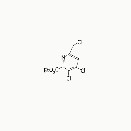 CCOC(=O)c1nc(CCl)cc(Cl)c1Cl